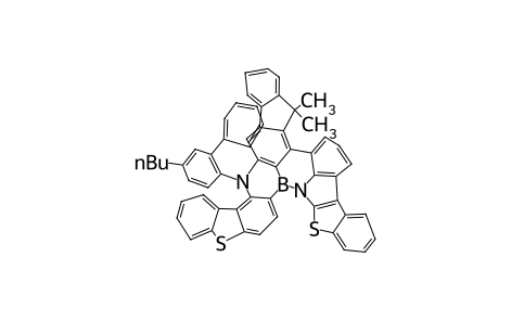 CCCCc1ccc(N2c3cc4c(c5c3B(c3ccc6sc7ccccc7c6c32)n2c3sc6ccccc6c3c3cccc-5c32)C(C)(C)c2ccccc2-4)c(-c2ccccc2)c1